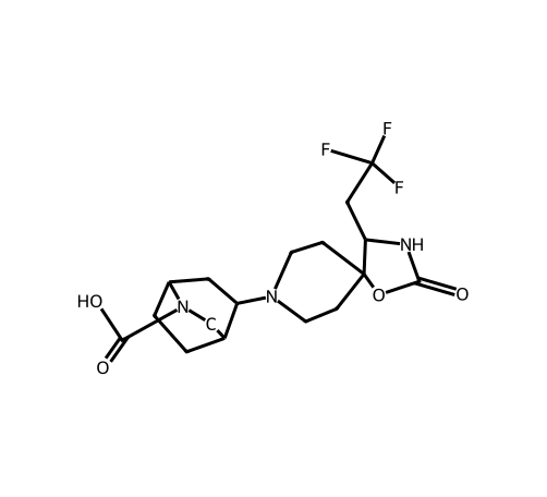 O=C1NC(CC(F)(F)F)C2(CCN(C3CC4CCC3CN4C(=O)O)CC2)O1